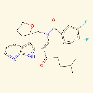 CC(C)CCC(=O)C1=CN(C(=O)c2ccc(F)c(F)c2)CC2(CCCO2)c2c1[nH]c1ncccc21